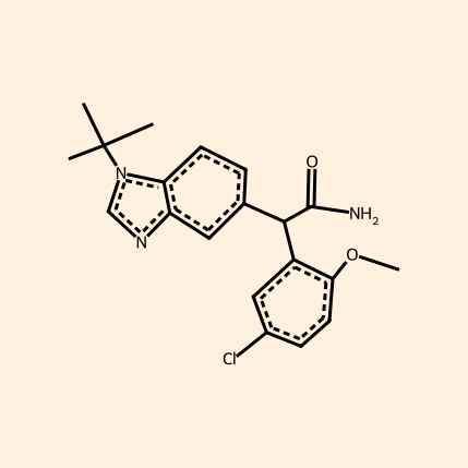 COc1ccc(Cl)cc1C(C(N)=O)c1ccc2c(c1)ncn2C(C)(C)C